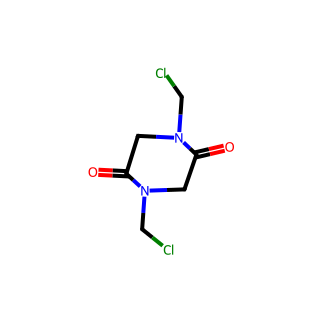 O=C1CN(CCl)C(=O)CN1CCl